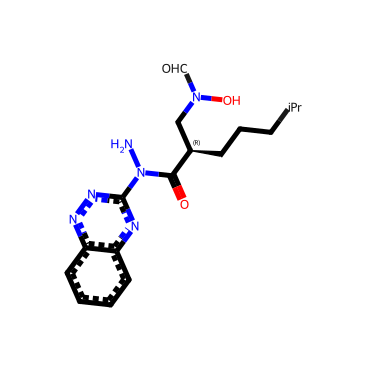 CC(C)CCC[C@H](CN(O)C=O)C(=O)N(N)c1nnc2ccccc2n1